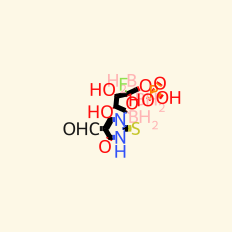 BC(B)(OP(=O)(O)O)[C@@]1(F)O[C@@](B)(n2cc(C=O)c(=O)[nH]c2=S)[C@H](O)[C@@H]1O